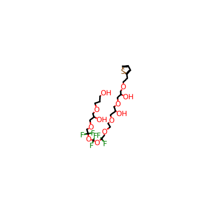 OCCCOCC(O)COCC(F)(F)OC(F)(F)OC(F)(F)COCCOCC(O)COCC(O)COCCc1cccs1